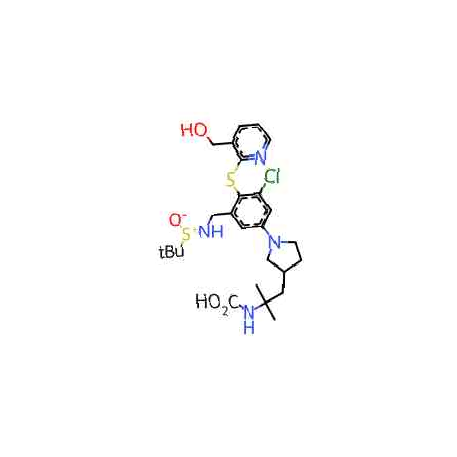 CC(C)(CC1CCN(c2cc(Cl)c(Sc3ncccc3CO)c(CN[S+]([O-])C(C)(C)C)c2)C1)NC(=O)O